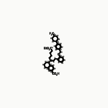 CCOC(=O)CCCCN(CCc1ccccc1OCc1ccc(C2CCC(C(F)(F)F)CC2)cc1)C1CCCc2nc(C(=O)O)ccc21